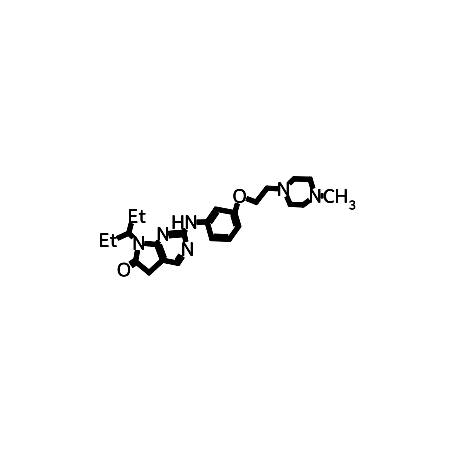 CCC(CC)N1C(=O)Cc2cnc(Nc3cccc(OCCN4CCN(C)CC4)c3)nc21